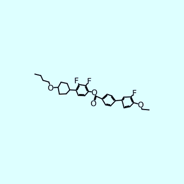 CCCCOC1CCC(c2ccc(OC(=O)c3ccc(-c4ccc(OCC)c(F)c4)cc3)c(F)c2F)CC1